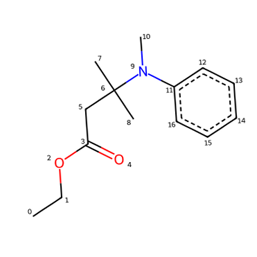 CCOC(=O)CC(C)(C)N(C)c1ccccc1